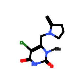 C=C1CCCN1Cc1c(Cl)c(=O)[nH]c(=O)n1C(C)(C)C